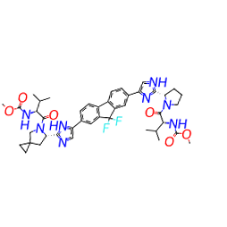 COC(=O)N[C@H](C(=O)N1CCC[C@H]1c1nc(-c2ccc3c(c2)C(F)(F)c2cc(-c4cnc([C@@H]5CC6(CC6)CN5C(=O)[C@@H](NC(=O)OC)C(C)C)[nH]4)ccc2-3)c[nH]1)C(C)C